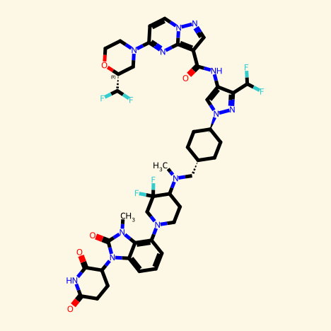 CN(C[C@H]1CC[C@H](n2cc(NC(=O)c3cnn4ccc(N5CCO[C@@H](C(F)F)C5)nc34)c(C(F)F)n2)CC1)C1CCN(c2cccc3c2n(C)c(=O)n3C2CCC(=O)NC2=O)CC1(F)F